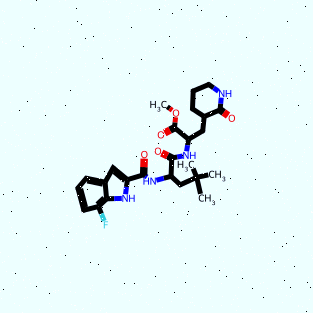 COC(=O)C(CC1CCCNC1=O)NC(=O)C(CC(C)(C)C)NC(=O)c1cc2cccc(F)c2[nH]1